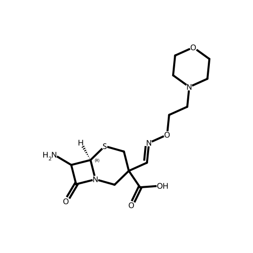 NC1C(=O)N2CC(C=NOCCN3CCOCC3)(C(=O)O)CS[C@H]12